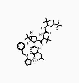 CN(C[C@@H](NC(=O)N[C@H](C(=O)N1C[C@H]2[C@@H]([C@H]1C(=O)N[C@@H](CC(F)F)C(=O)N[C@@H]1CCC[C@H]1OCc1ccccc1)C2(C)C)C(C)(C)C)C(C)(C)C)S(C)(=O)=O